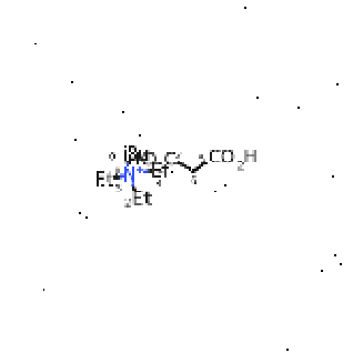 CCC(C)[N+](CC)(CC)CC.O=C(O)CC(=O)O